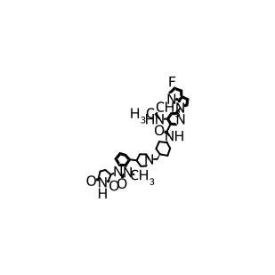 CC(C)Nc1cc(-n2ccc3cc(F)cnc32)ncc1C(=O)N[C@H]1CC[C@H](CN2CCC(c3cccc4c3n(C)c(=O)n4C3CCC(=O)NC3=O)CC2)CC1